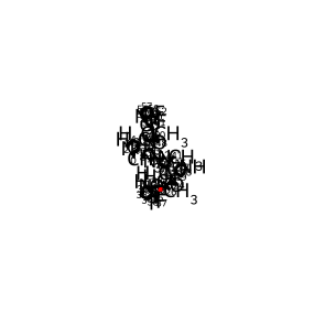 Cc1ncccc1[C@H]1CNC(c2ccc([C@@H]3CNCC[C@H]3N(C)C(=O)C(C)(C)COc3ncccc3C(F)(F)F)c(C)n2)C[C@@H]1N(C)C(=O)C(C)(C)COc1ncccc1C(F)(F)F